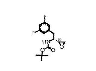 CC(C)(C)OC(=O)NC(Cc1cc(F)cc(F)c1)[C@@H]1CO1